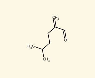 C=C([C]=O)CCC(C)C